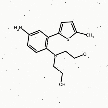 Cc1ccc(-c2cc(N)ccc2N(CCO)CCO)s1